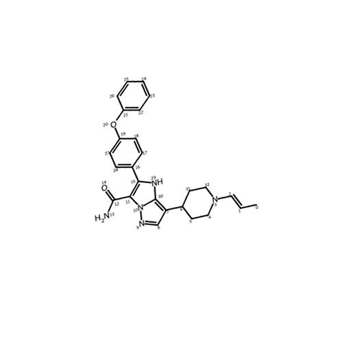 CC=CN1CCC(c2cnn3c(C(N)=O)c(-c4ccc(Oc5ccccc5)cc4)[nH]c23)CC1